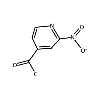 O=C(Cl)c1ccnc([N+](=O)[O-])c1